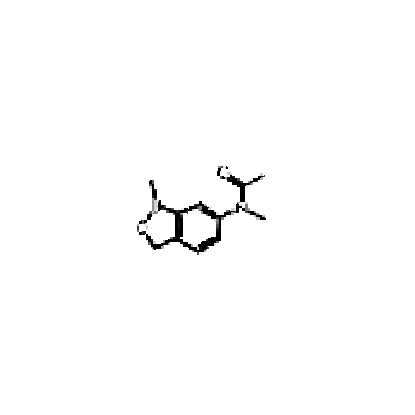 CB1OCc2ccc(N(C)C(C)=O)cc21